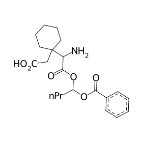 CCCC(OC(=O)c1ccccc1)OC(=O)C(N)C1(CC(=O)O)CCCCC1